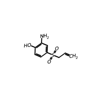 C=CCS(=O)(=O)c1ccc(O)c(N)c1